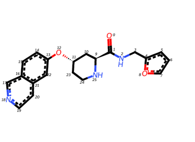 O=C(NCc1ccco1)[C@@H]1C[C@@H](Oc2ccc3cnccc3c2)CCN1